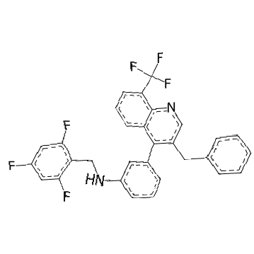 Fc1cc(F)c(CNc2cccc(-c3c(Cc4ccccc4)cnc4c(C(F)(F)F)cccc34)c2)c(F)c1